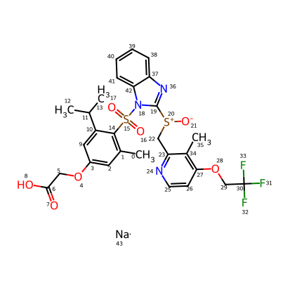 Cc1cc(OCC(=O)O)cc(C(C)C)c1S(=O)(=O)n1c([S+]([O-])Cc2nccc(OCC(F)(F)F)c2C)nc2ccccc21.[Na]